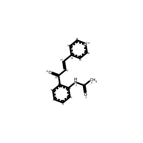 CC(=O)Nc1ccccc1C(=O)C=Cc1ccncc1